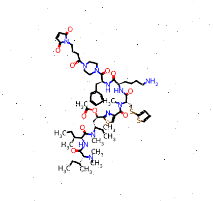 CCC(C)[C@H](C(=O)N[C@H](C(=O)N(C)[C@H](C[C@@H](OC(C)=O)c1nc(C(=O)N(C)[C@@H](CSc2cccs2)C(=O)N[C@H](CCCCN)C(=O)N[C@@H](Cc2ccccc2)C(=O)N2CCN(C(=O)CCCN3C(=O)C=CC3=O)CC2)cs1)C(C)C)[C@@H](C)CC)N(C)C